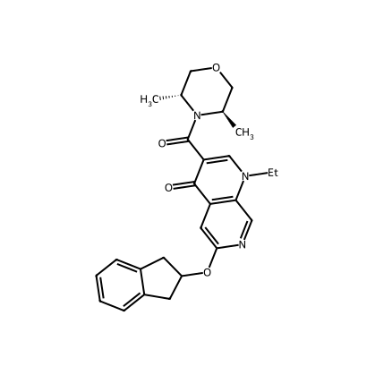 CCn1cc(C(=O)N2[C@H](C)COC[C@H]2C)c(=O)c2cc(OC3Cc4ccccc4C3)ncc21